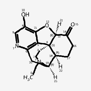 CN1CC[C@]23c4c5ncc(O)c4O[C@H]2C(=O)CC[C@H]3[C@H]1C5